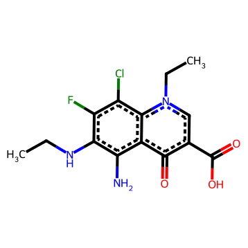 CCNc1c(F)c(Cl)c2c(c1N)c(=O)c(C(=O)O)cn2CC